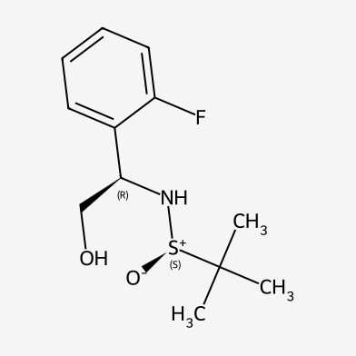 CC(C)(C)[S@@+]([O-])N[C@@H](CO)c1ccccc1F